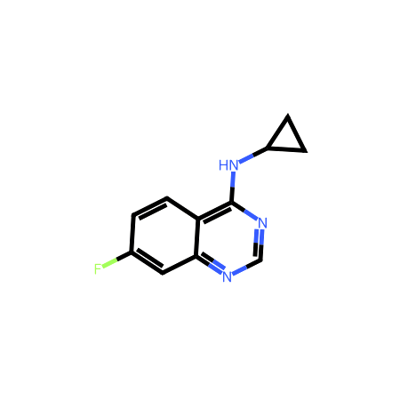 Fc1ccc2c(NC3CC3)ncnc2c1